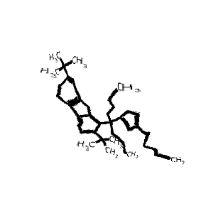 C=CCCCC1=CCC(C(CCCC)(CCCC)c2c(C(C)(C)C)ccc3c2Cc2cc(C(C)(C)C)ccc2-3)=C1